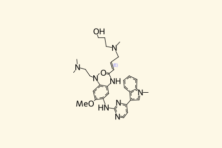 COc1cc(N(C)CCN(C)C)c(NC(=O)/C=C/CN(C)CCCO)cc1Nc1nccc(-c2cn(C)c3ccccc23)n1